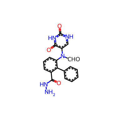 NNC(=O)c1cccc(N(C=O)c2c[nH]c(=O)[nH]c2=O)c1-c1ccccc1